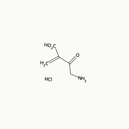 C=C(C(=O)O)C(=O)CN.Cl